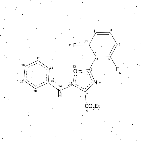 CCOC(=O)c1nc(C2C(F)=CC=CC2F)oc1Nc1ccccc1